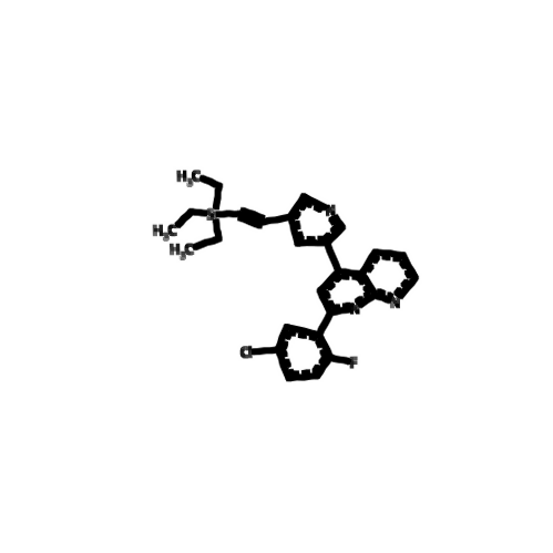 CC[Si](C#Cc1cncc(-c2cc(-c3cc(Cl)ccc3F)nc3ncccc23)c1)(CC)CC